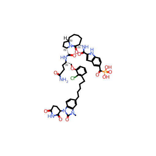 Cn1c(=O)n(C2CCC(=O)NC2=O)c2ccc(CCCCCc3cccc(OC[C@H](CCC(N)=O)NC(=O)[C@@H]4CC[C@@H]5CCCC[C@H](NC(=O)c6cc7cc(C(=O)P(=O)(O)O)ccc7[nH]6)C(=O)N54)c3Cl)cc21